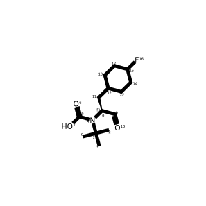 CC(C)(C)N(C(=O)O)[C@H](C=O)CC1CCC(F)CC1